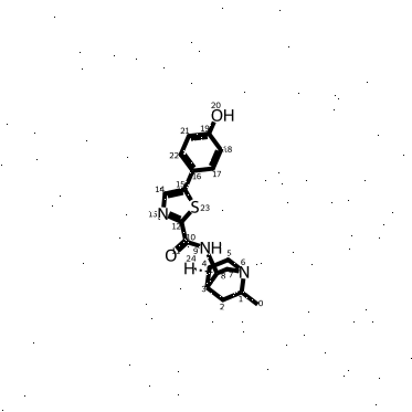 CC1CC2CCN1C[C@@H]2NC(=O)c1ncc(-c2ccc(O)cc2)s1